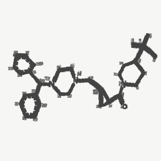 CC(C)(C)C1CCN(C(=O)C2CC2CN2CCN(C(c3ccccc3)c3ccccc3)CC2)CC1